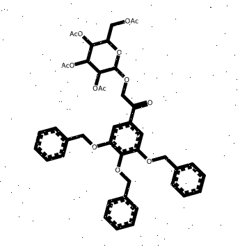 CC(=O)OCC1OC(OCC(=O)c2cc(OCc3ccccc3)c(OCc3ccccc3)c(OCc3ccccc3)c2)C(OC(C)=O)C(OC(C)=O)C1OC(C)=O